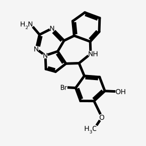 COc1cc(Br)c(C2Nc3ccccc3-c3nc(N)nn4ccc2c34)cc1O